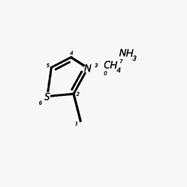 C.Cc1nccs1.N